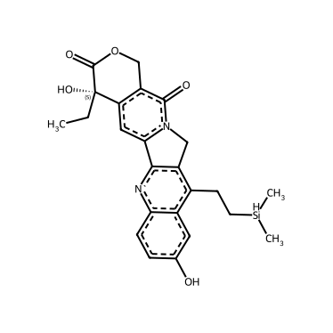 CC[C@@]1(O)C(=O)OCc2c1cc1n(c2=O)Cc2c-1nc1ccc(O)cc1c2CC[SiH](C)C